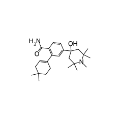 CN1C(C)(C)CC(O)(c2ccc(C(N)=O)c(C3=CCC(C)(C)CC3)c2)CC1(C)C